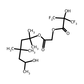 CC(O)CC(C)(C)CC(C)(C)OC(=O)COC(=O)C(O)(C(F)(F)F)C(F)(F)F